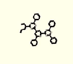 C=C/C=C(\C=C)c1nc(C2=CC=CCC2)nc(-c2cc(C3=CC=CCC3)nc(-c3nc(-c4ccccc4)nc(-c4ccccc4)n3)c2)n1